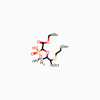 CCCCCCCCCCCCSC(CCCCCCCC)C(C)OC(C(=O)OCC(C)(C)C)P(=O)(O)OCCC